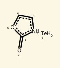 O=c1[nH]cco1.[TeH2]